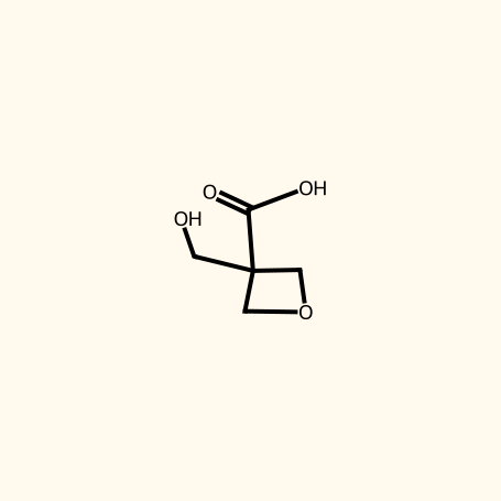 O=C(O)C1(CO)COC1